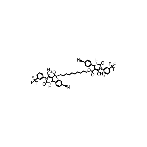 CC1=C(C(=O)OCCCCCCCCCCOC(=O)C2=C(C)N(c3cccc(C(F)(F)F)c3)C(=O)NC2c2ccc(C#N)cc2)C(c2ccc(C#N)cc2)NC(=O)N1c1cccc(C(F)(F)F)c1